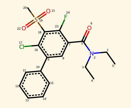 CCN(CC)C(=O)c1cc(-c2ccccc2)c(Cl)c(S(C)(=O)=O)c1F